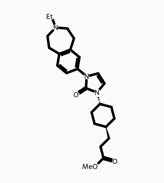 CCN1CCc2ccc(-n3ccn([C@H]4CC[C@H](CCC(=O)OC)CC4)c3=O)cc2CC1